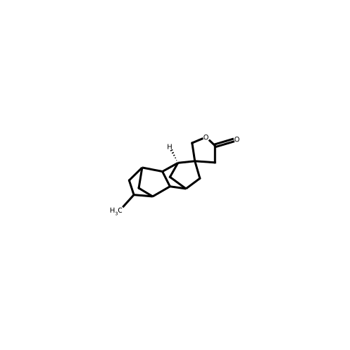 CC1CC2CC1C1C3C[C@@H](C21)C1(COC(=O)C1)C3